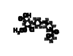 COc1cc(C(=O)O)cc(-c2ccc([C@H]3CC34CCN(C(=O)[C@H]3CCCO3)CC4)cc2)c1Cl